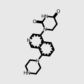 O=C1CCN(c2cncc3c(N4CCNCC4)cccc23)C(=O)N1